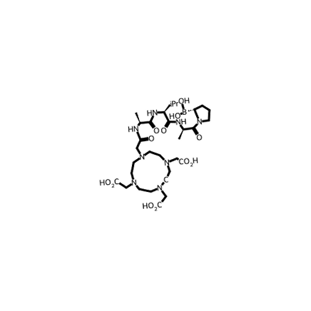 CC(C)[C@H](NC(=O)[C@H](C)NC(=O)CN1CCN(CC(=O)O)CCN(CC(=O)O)CCN(CC(=O)O)CC1)C(=O)N[C@H](C)C(=O)N1CCC[C@H]1B(O)O